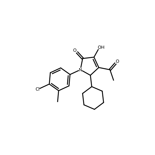 CC(=O)C1=C(O)C(=O)N(c2ccc(Cl)c(C)c2)C1C1CCCCC1